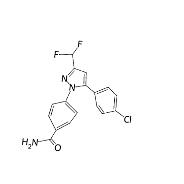 NC(=O)c1ccc(-n2nc(C(F)F)cc2-c2ccc(Cl)cc2)cc1